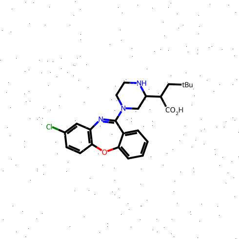 CC(C)(C)CC(C(=O)O)C1CN(C2=Nc3cc(Cl)ccc3Oc3ccccc32)CCN1